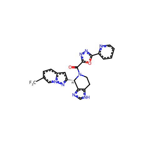 O=C(c1nnc(-c2ccccn2)o1)N1CCc2[nH]cnc2[C@@H]1c1cc2ccc(C(F)(F)F)cn2n1